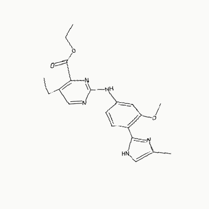 CCOC(=O)c1nc(Nc2ccc(-c3nc(C)c[nH]3)c(OC)c2)ncc1CC